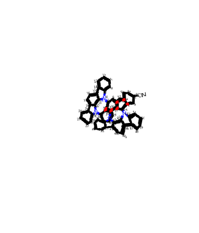 N#Cc1ccc(-c2cc(-n3c4ccccc4c4ccc5c6ccccc6n(-c6ccccc6)c5c43)cc(-n3c4ccccc4c4ccc5c6ccccc6n(-c6ccccc6)c5c43)c2)cc1